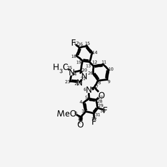 COC(=O)c1cc2nc(-c3cccc(-c4ccc(F)cc4-c4nncn4C)c3)oc2c(F)c1F